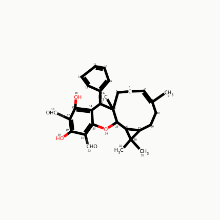 CC1=CCCC2(C)C(c3ccccc3)c3c(O)c(C=O)c(O)c(C=O)c3OC2C2C(CC1)C2(C)C